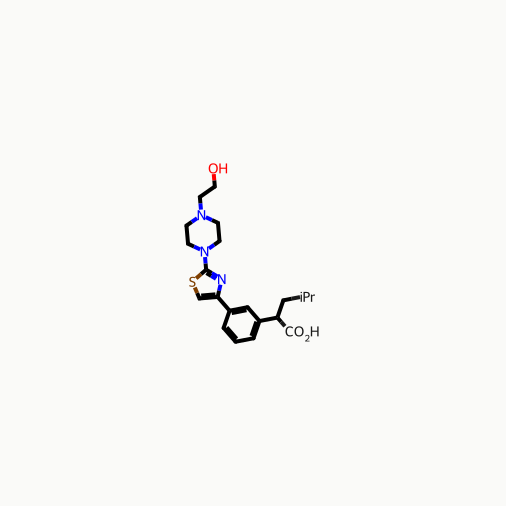 CC(C)CC(C(=O)O)c1cccc(-c2csc(N3CCN(CCO)CC3)n2)c1